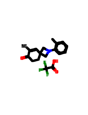 Cc1ccccc1N1CC2(C=C(C#N)C(=O)CC2)C1.O=C(O)C(F)(F)F